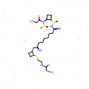 C=S(NC(=N)CCCCCCC(=N)CC1CCC1SCCNC(=O)CN)C1CCC1N(C(=O)CN)S(=C)C